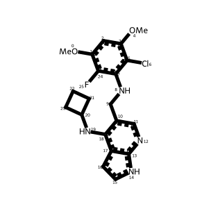 COc1cc(OC)c(Cl)c(NCc2cnc3[nH]ccc3c2NC2CCC2)c1F